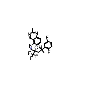 Cc1ncc2c(/N=C\C(O)(CC(C)(C)c3cc(F)ccc3F)C(F)(F)F)cccc2n1